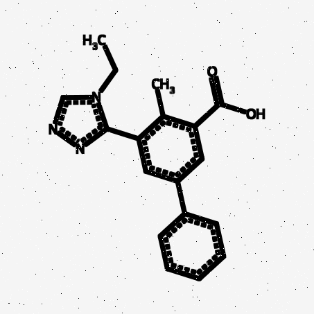 CCn1cnnc1-c1cc(-c2ccccc2)cc(C(=O)O)c1C